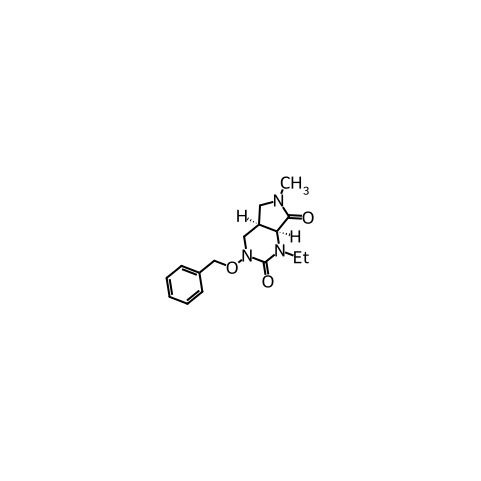 CCN1C(=O)N(OCc2ccccc2)C[C@H]2CN(C)C(=O)[C@H]21